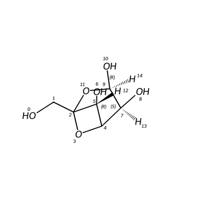 OCC12OC([C@H]1O)[C@H](O)[C@H](O)O2